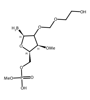 B[C@@H]1O[C@H](COP(=O)(O)OC)[C@H](OC)C1OCOCCO